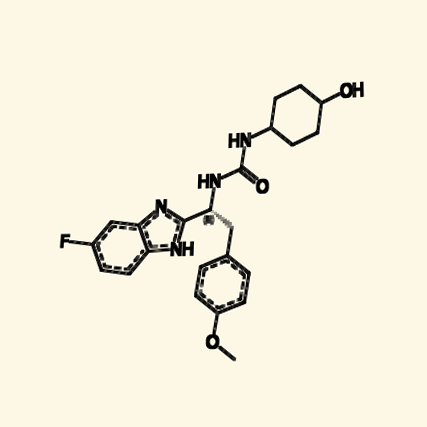 COc1ccc(C[C@@H](NC(=O)NC2CCC(O)CC2)c2nc3cc(F)ccc3[nH]2)cc1